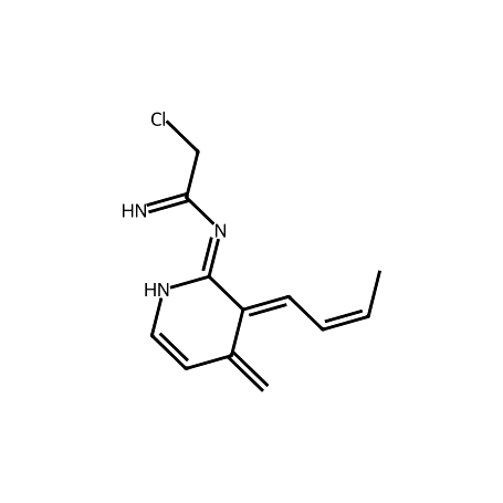 C=c1cc[nH]c(=N\C(=N)CCl)/c1=C/C=C\C